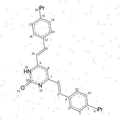 CC(C)c1ccc(C=Cc2cc(C=Cc3ccc(C(C)C)cc3)[nH]c(=O)n2)cc1